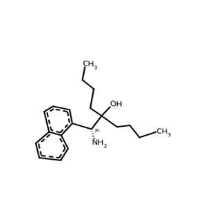 CCCCC(O)(CCCC)[C@H](N)c1cccc2ccccc12